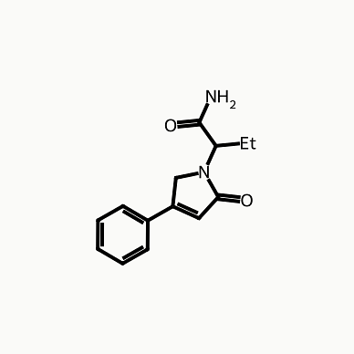 CCC(C(N)=O)N1CC(c2ccccc2)=CC1=O